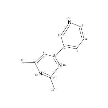 Cc1cc(-c2cccnc2)nc(C)n1